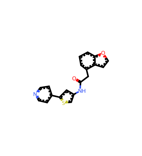 O=C(Cc1cccc2occc12)Nc1csc(-c2ccncc2)c1